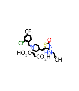 C#CCNC1=NC(=O)S/C1=C\C1CCN(Cc2ccc(C(F)(F)F)cc2Cl)CC1.O=C(O)/C=C/C(=O)O